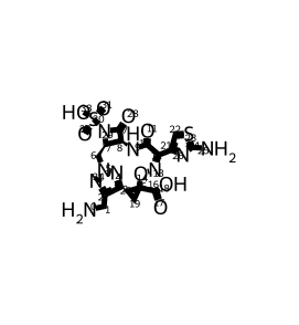 NCc1cnn(C[C@@H]2[C@H](NC(=O)C(=NOC3(C(=O)O)CC3)c3csc(N)n3)C(=O)N2S(=O)(=O)O)n1